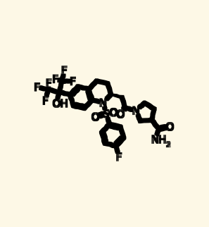 NC(=O)C1CCN(C(=O)C[C@@H]2CCc3cc(C(O)(C(F)(F)F)C(F)(F)F)ccc3N2S(=O)(=O)c2ccc(F)cc2)C1